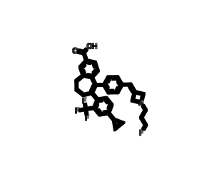 O=C(O)c1ccc2c(c1)CCCC(c1ccc(C3CC3)cc1C(F)(F)F)=C2c1ccc(C=C2CN(CCCF)C2)cc1